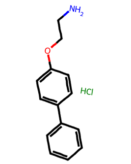 Cl.NCCOc1ccc(-c2ccccc2)cc1